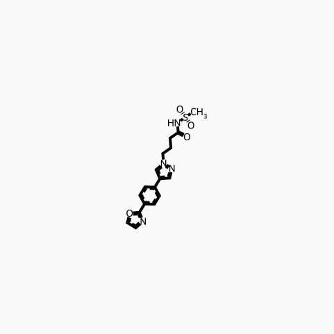 CS(=O)(=O)NC(=O)CCCn1cc(-c2ccc(-c3ncco3)cc2)cn1